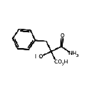 NC(=O)C(O)(Cc1ccccc1)C(=O)O